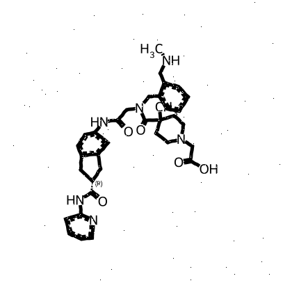 CNCc1ccccc1CN(CC(=O)Nc1ccc2c(c1)C[C@H](C(=O)Nc1ccccn1)C2)C(=O)C1(C)CCN(CC(=O)O)CC1